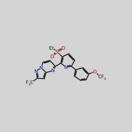 CCS(=O)(=O)c1ccc(-c2cccc(OC(F)(F)F)c2)nc1-c1ccn2nc(C(F)(F)F)cc2n1